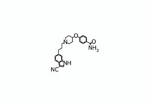 N#Cc1c[nH]c2cc(CCCN3CCC(Oc4ccc(C(N)=O)cc4)CC3)ccc12